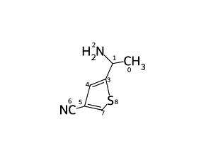 CC(N)c1cc(C#N)cs1